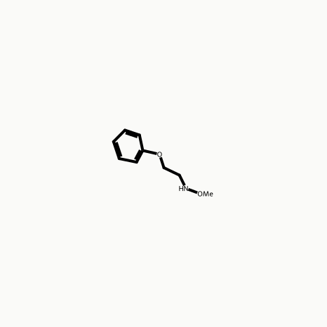 CONCCOc1ccccc1